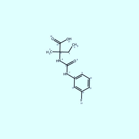 CCC(C)(NC(=O)Nc1cccc(F)c1)C(=O)O